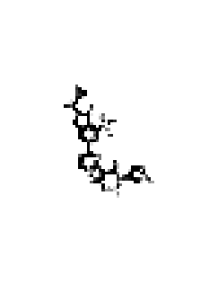 C[C@@H](C1CC1)N1Cc2cc(-c3ccn4nc(N)c(C(=O)Nc5cnn(C)c5)c4n3)cc(S(C)(=O)=O)c2C1=O